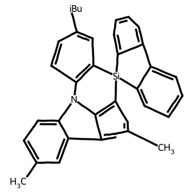 CCC(C)c1ccc2c(c1)[Si]1(c3ccccc3-c3ccccc31)c1cc(C)cc3c4cc(C)ccc4n-2c13